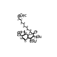 CCCCCCCCCCCCCCCCCCOC(=O)C(=C(c1ccc(OO)cc1)C(C)(C)C)C(C)(C)C